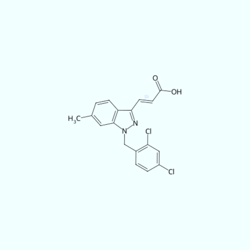 Cc1ccc2c(/C=C/C(=O)O)nn(Cc3ccc(Cl)cc3Cl)c2c1